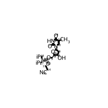 Cc1cn([C@H]2C[C@H](O)[C@@H](COP(OCCC#N)N(C(C)C)C(C)C)O2)c(=O)[nH]c1=O